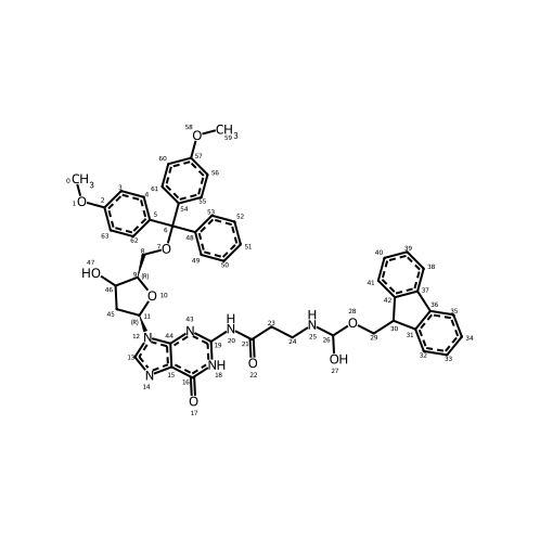 COc1ccc(C(OC[C@H]2O[C@@H](n3cnc4c(=O)[nH]c(NC(=O)CCNC(O)OCC5c6ccccc6-c6ccccc65)nc43)CC2O)(c2ccccc2)c2ccc(OC)cc2)cc1